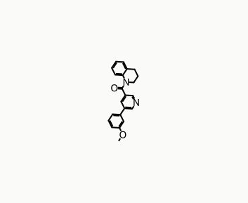 COc1cccc(-c2cncc(C(=O)N3CCCc4ccccc43)c2)c1